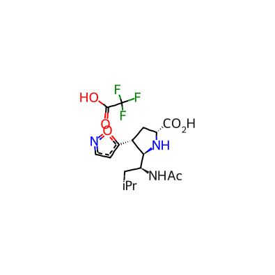 CC(=O)N[C@@H](CC(C)C)[C@@H]1N[C@@H](C(=O)O)C[C@H]1c1ccno1.O=C(O)C(F)(F)F